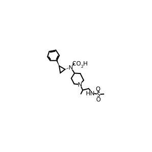 CC(CNS(C)(=O)=O)N1CCC(N(C(=O)O)[C@@H]2C[C@H]2c2ccccc2)CC1